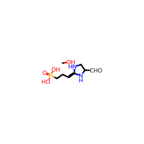 CO.O=CC1CNC(=CCCP(=O)(O)O)N1